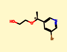 C[C@H](OCCO)c1cncc(Br)c1